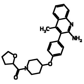 Cc1c(-c2ccc(OC3CCN(C(=O)C4CCCO4)CC3)cc2)c(N)nc2ccccc12